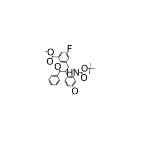 COC(=O)c1cc(F)cc(CC(C(=O)c2ccccc2)c2ccc(OC)cc2NC(=O)OC(C)(C)C)c1